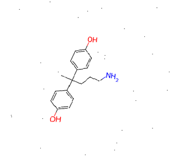 CC(CCCN)(c1ccc(O)cc1)c1ccc(O)cc1